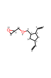 C=CC1CC(C=C)C(COCC2CO2)C1